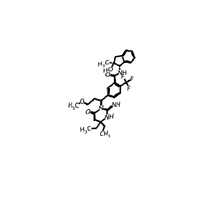 CCC1(CC)CC(=O)N(C(CCOC)c2ccc(C(F)(F)F)c(C(=O)N[C@@H]3c4ccccc4C[C@@]3(C)O)c2)C(=N)N1